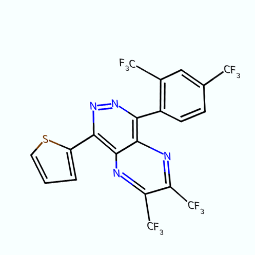 FC(F)(F)c1ccc(-c2nnc(-c3cccs3)c3nc(C(F)(F)F)c(C(F)(F)F)nc23)c(C(F)(F)F)c1